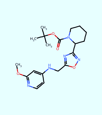 COc1cc(NCc2nc(C3CCCCN3C(=O)OC(C)(C)C)no2)ccn1